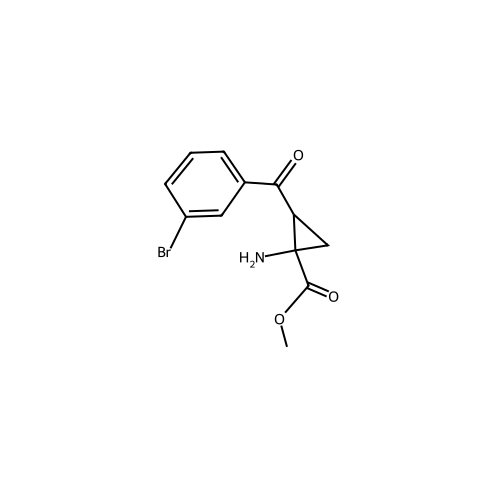 COC(=O)C1(N)CC1C(=O)c1cccc(Br)c1